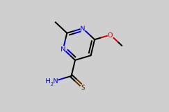 COc1cc(C(N)=S)nc(C)n1